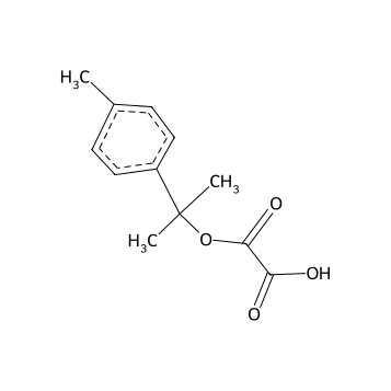 Cc1ccc(C(C)(C)OC(=O)C(=O)O)cc1